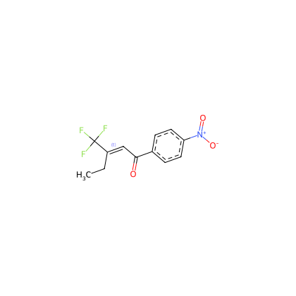 CC/C(=C\C(=O)c1ccc([N+](=O)[O-])cc1)C(F)(F)F